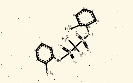 Cc1ccccc1NS(=O)(=O)C(C)(C)S(=O)(=O)Nc1ccccc1N